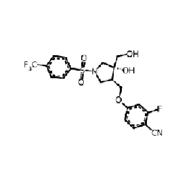 N#Cc1ccc(OC[C@H]2CN(S(=O)(=O)c3ccc(C(F)(F)F)cc3)C[C@@]2(O)CO)cc1F